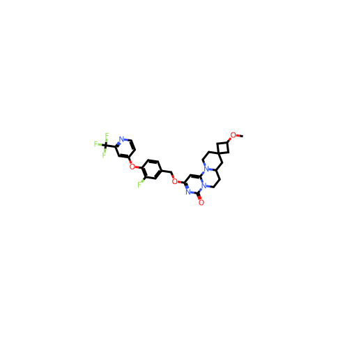 COC1CC2(CCN3c4cc(OCc5ccc(Oc6ccnc(C(F)(F)F)c6)c(F)c5)nc(=O)n4CCC3C2)C1